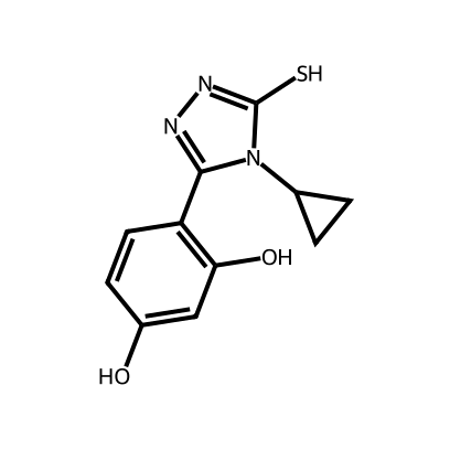 Oc1ccc(-c2nnc(S)n2C2CC2)c(O)c1